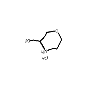 Cl.OC1COCCN1